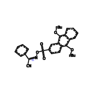 CCCCOc1c2ccccc2c(OCCCC)c2cc(S(=O)(=O)O/N=C(/C#N)c3ccccc3)ccc12